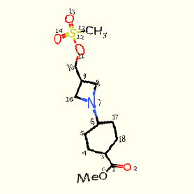 COC(=O)C1CCC(N2CC(COS(C)(=O)=O)C2)CC1